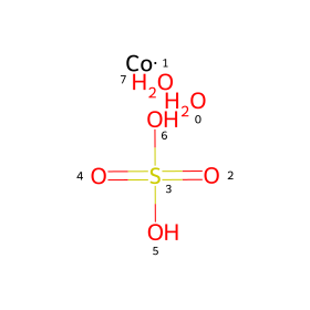 O.O.O=S(=O)(O)O.[Co]